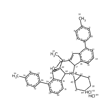 CCC1=Cc2c(-c3ccc(C)cc3)cccc2[CH]1[Hf]1([CH]2C(CC)=Cc3c(-c4ccc(C)cc4)cccc32)[CH]2CCCC[CH]21.Cl.Cl